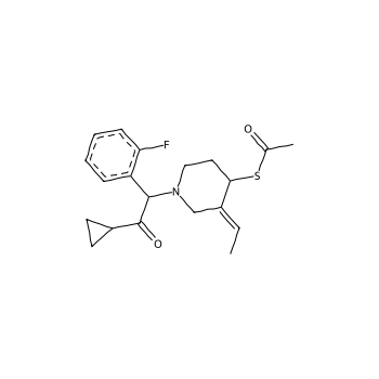 C/C=C1\CN(C(C(=O)C2CC2)c2ccccc2F)CCC1SC(C)=O